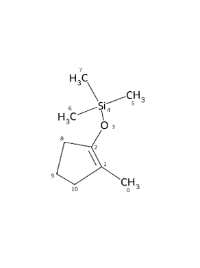 CC1=C(O[Si](C)(C)C)CCC1